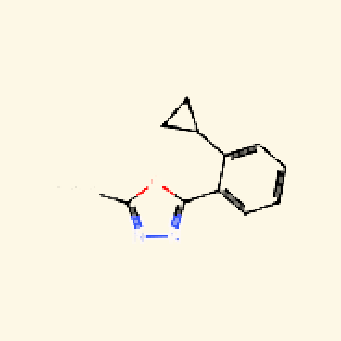 CCOC(=O)c1nnc(-c2ccccc2C2CC2)o1